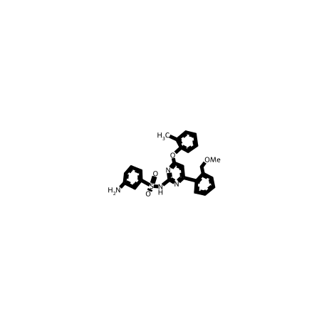 COCc1ccccc1-c1cc(Oc2ccccc2C)nc(NS(=O)(=O)c2cccc(N)c2)n1